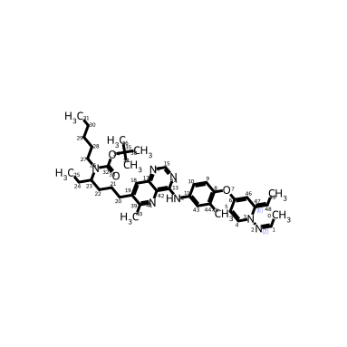 C/C=N\N1C=CC(Oc2ccc(Nc3ncnc4cc(CCCC(CC)N(CCCCC)C(=O)OC(C)(C)C)c(C)nc34)cc2C)=C/C1=C\C